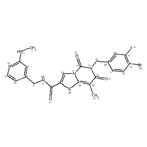 CNc1cc(CNC(=O)c2cn3c(=O)n(Cc4ccc(Br)c(F)c4)c(=O)c(C)c3s2)ccn1